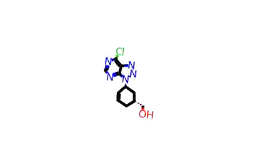 OC[C@@H]1CC=C[C@H](n2nnc3c(Cl)ncnc32)C1